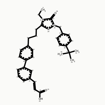 CCn1c(CCCc2ccc(-c3cccc(C=CC(=O)O)c3)cc2)nn(Cc2ccc(C(C)(C)C)cc2)c1=O